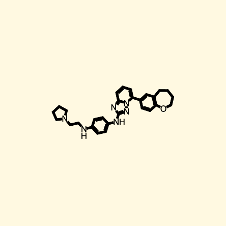 c1cc(-c2ccc3c(c2)CCCCO3)n2nc(Nc3ccc(NCCN4CCCC4)cc3)nc2c1